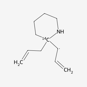 C=C[CH][14C]1(CC=C)CCCCN1